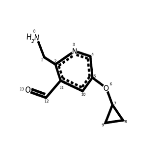 NCc1ncc(OC2CC2)cc1C=O